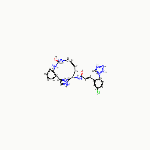 O=C(C=Cc1cc(Cl)ccc1-n1cnnn1)NC1CC=CCNC(=O)Nc2ccccc2-c2c[nH]c1n2